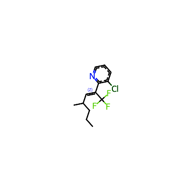 CCCC(C)/C=C(/c1ncccc1Cl)C(F)(F)F